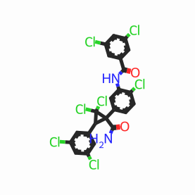 NC(=O)C1(c2ccc(Cl)c(NC(=O)c3cc(Cl)cc(Cl)c3)c2)C(c2cc(Cl)cc(Cl)c2)C1(Cl)Cl